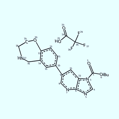 CC(C)COC(=O)n1cnc2ncc(-c3ccc4c(c3)CNCCO4)cc21.O=C(O)C(F)(F)F